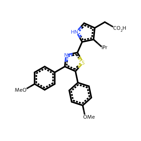 COc1ccc(-c2nc(-c3[nH]cc(CC(=O)O)c3C(C)C)sc2-c2ccc(OC)cc2)cc1